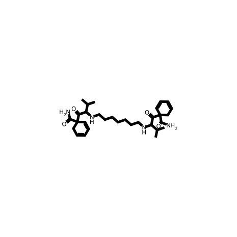 CC(C)C(NCCCCCCCNC(C(=O)C1(C(N)=O)C=CC=CC1)C(C)C)C(=O)C1(C(N)=O)C=CC=CC1